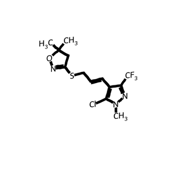 Cn1nc(C(F)(F)F)c(C=CCSC2=NOC(C)(C)C2)c1Cl